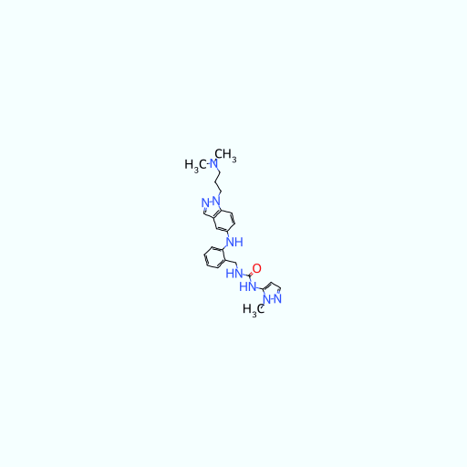 CN(C)CCCn1ncc2cc(Nc3ccccc3CNC(=O)Nc3ccnn3C)ccc21